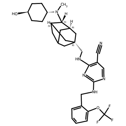 CN([C@H]1CC[C@H](O)CC1)[C@@H]1[C@@H]2CC3C[C@H]1C[C@](CNc1nc(NCc4ccccc4OC(F)(F)F)ncc1C#N)(C3)C2